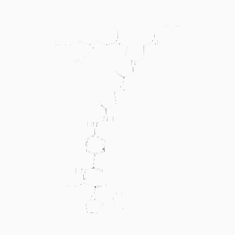 C[C@@H](NC(=O)c1ccc(NNC(=O)CCNC(=O)CN(CCNCC(=O)O)CCN(CCN(CS)CC(=O)O)CC(=O)O)cc1)C(=O)N1CCC[C@H]1B(O)O